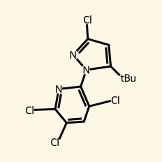 CC(C)(C)c1cc(Cl)nn1-c1nc(Cl)c(Cl)cc1Cl